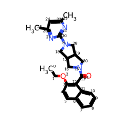 CCOc1ccc2ccccc2c1C(=O)N1CC2CN(c3nc(C)cc(C)n3)CC2C1